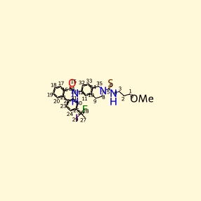 COCCCNC(=S)N1CCc2cc(NC(=O)c3ccccc3-c3ccc(C(C)(F)I)cc3)ccc2C1